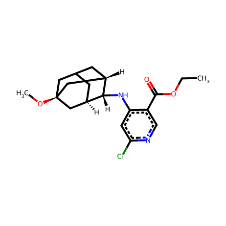 CCOC(=O)c1cnc(Cl)cc1N[C@@H]1[C@@H]2CC3C[C@H]1C[C@@](OC)(C3)C2